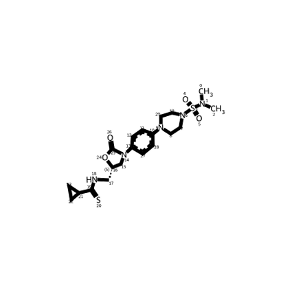 CN(C)S(=O)(=O)N1CCN(c2ccc(N3C[C@H](CNC(=S)C4CC4)OC3=O)cc2)CC1